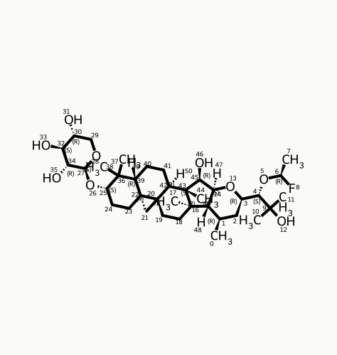 C[C@@H]1C[C@H]([C@H](O[C@@H](C)F)C(C)(C)O)O[C@H]2[C@H]1[C@@]1(C)CC[C@@]34C[C@@]35CC[C@H](O[C@@H]3OC[C@@H](O)[C@H](O)[C@H]3O)C(C)(C)[C@@H]5CC[C@H]4[C@]1(C)[C@H]2O